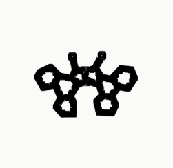 O=c1c2c3ccccc3c3ccccc3c2n2c3c4ccccc4c4ccccc4c3c(=O)n12